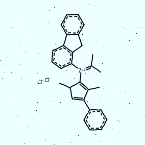 CC1=[C]([Zr+2](=[C](C)C)[c]2cccc3c2Cc2ccccc2-3)C(C)C=C1c1ccccc1.[Cl-].[Cl-]